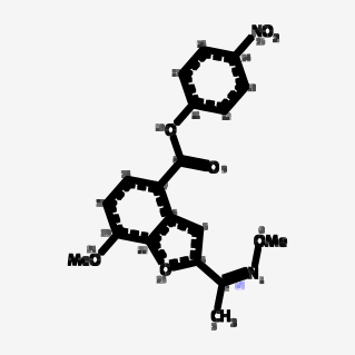 CO/N=C(/C)c1cc2c(C(=O)Oc3ccc([N+](=O)[O-])cc3)ccc(OC)c2o1